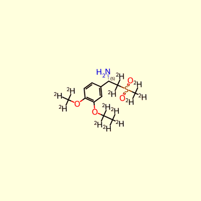 [2H]C([2H])([2H])Oc1ccc([C@H](N)C([2H])([2H])S(=O)(=O)C([2H])([2H])[2H])cc1OC([2H])([2H])C([2H])([2H])[2H]